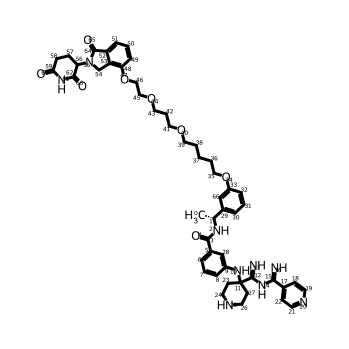 C[C@@H](NC(=O)c1cccc(NC2(C(=N)NC(=N)c3ccncc3)CCNCC2)c1)c1cccc(OCCCCCOCCCOCCOc2cccc3c2CN(C2CCC(=O)NC2=O)C3=O)c1